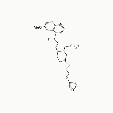 COc1ccc2nccc([C@@H](F)CC[C@@H]3CCN(CCCSc4ccoc4)C[C@@H]3CC(=O)O)c2c1